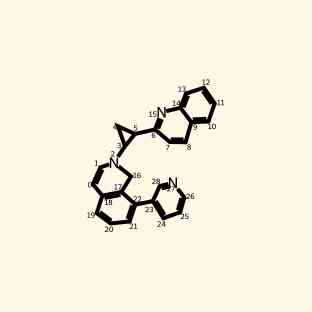 C1=CN(C2CC2c2ccc3ccccc3n2)Cc2c1cccc2-c1cccnc1